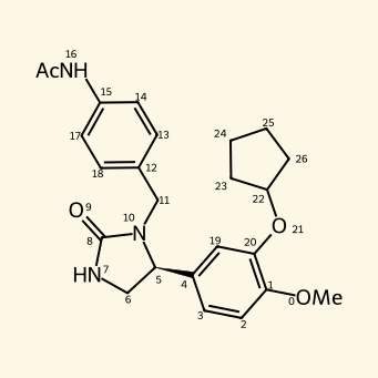 COc1ccc([C@H]2CNC(=O)N2Cc2ccc(NC(C)=O)cc2)cc1OC1CCCC1